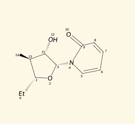 CC[C@H]1O[C@@H](n2ccccc2=O)[C@@H](O)[C@@H]1C